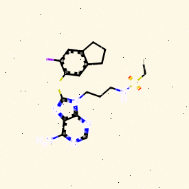 CC(C)CS(=O)(=O)NCCCn1c(Sc2cc3c(cc2I)CCC3)nc2c(N)ncnc21